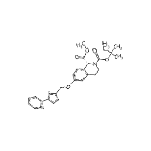 COC(=O)[C@H]1c2ccc(OCc3ccc(-c4ccccn4)s3)cc2CCN1C(=O)OC(C)(C)C